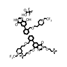 C[Si](C)(C)CCOCOc1cc(-c2ccccc2COCCC2CCN(CC(F)(F)F)CC2)cc2c(=O)n(COCC[Si](C)(C)C)cnc12.O=C(O)C(F)(F)F.O=c1[nH]cnc2c(O)cc(-c3ccccc3COCCC3CCN(CC(F)(F)F)CC3)cc12